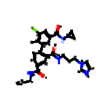 Cc1c(F)cc(C(=O)NC2CC2)cc1-c1ccc(C(=O)NCC(C)(C)C)cc1C(=O)NCCCn1ccnc1